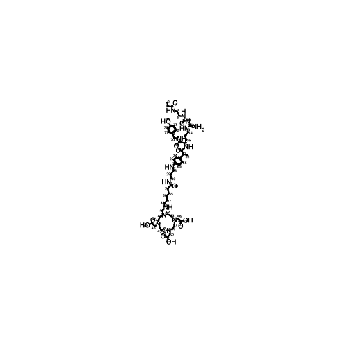 CCC(=O)NCCNC(=O)/N=C(/N)NCCC[C@@H](NC(=O)C(C)c1ccc(NCCCNC(=O)CCCCCNCN2CCN(CC(=O)O)CCN(CC(=O)O)CCN(CC(=O)O)CC2)cc1)C(=O)NCc1ccc(O)cc1